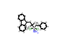 C[C](C)(CC1c2ccccc2-c2ccccc21)[Ti]([NH2])([Cl])([Cl])[CH2]c1ccccc1